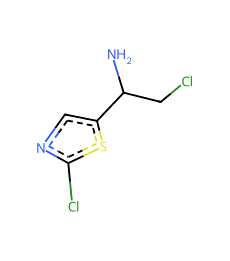 NC(CCl)c1cnc(Cl)s1